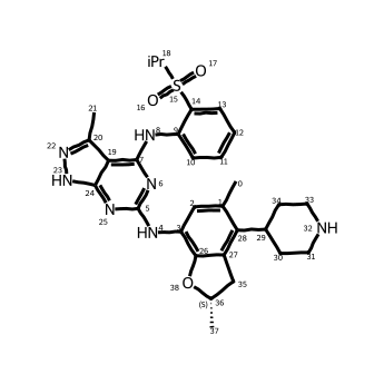 Cc1cc(Nc2nc(Nc3ccccc3S(=O)(=O)C(C)C)c3c(C)n[nH]c3n2)c2c(c1C1CCNCC1)C[C@H](C)O2